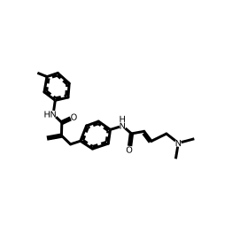 C=C(Cc1ccc(NC(=O)/C=C/CN(C)C)cc1)C(=O)Nc1cccc(C)c1